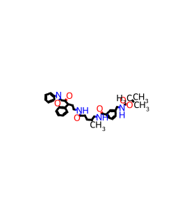 CC(CCC(=O)NCCC(C(=O)c1nc2ccccc2o1)c1ccccc1)CNC(=O)c1cccc(CNC(=O)OC(C)(C)C)c1